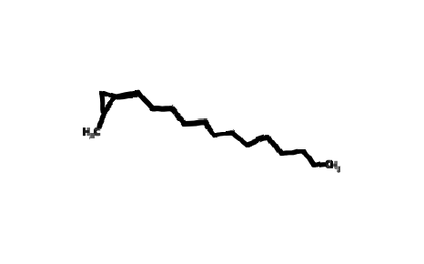 CCCCCCCCCCCCC=C1CC1C